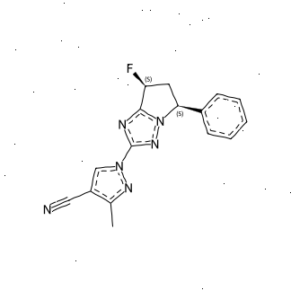 Cc1nn(-c2nc3n(n2)[C@H](c2ccccc2)C[C@@H]3F)cc1C#N